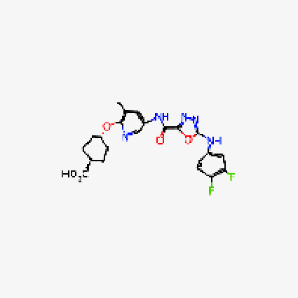 Cc1cc(NC(=O)c2nnc(Nc3ccc(F)c(F)c3)o2)cnc1O[C@H]1CC[C@H](C(=O)O)CC1